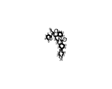 CCC(=O)N(c1ccccc1)C1CC(C)N(C(=O)c2ccc(N3CCN(C)CC3)cc2)c2ccccc21